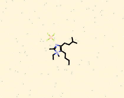 CCCCC1=C(CCC(C)C)N=C(C)[N+]1(C)CC.F[B-](F)(F)F